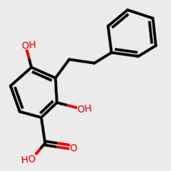 O=C(O)c1ccc(O)c(CCc2ccccc2)c1O